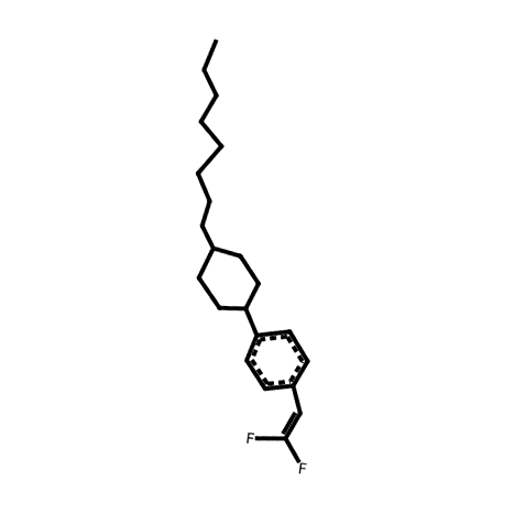 CCCCCCCCC1CCC(c2ccc(C=C(F)F)cc2)CC1